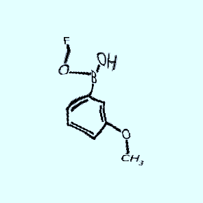 COc1cccc(B(O)OF)c1